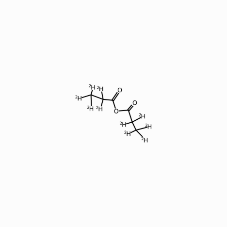 [2H]C([2H])([2H])C([2H])([2H])C(=O)OC(=O)C([2H])([2H])C([2H])([2H])[2H]